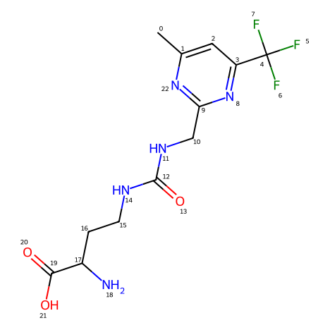 Cc1cc(C(F)(F)F)nc(CNC(=O)NCCC(N)C(=O)O)n1